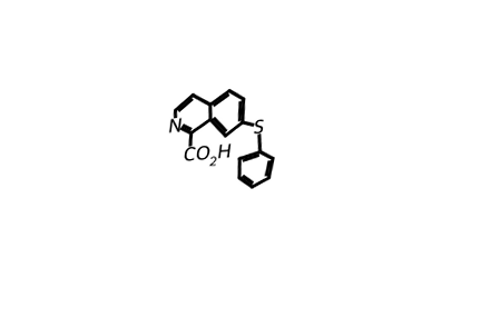 O=C(O)c1nccc2ccc(Sc3ccccc3)cc12